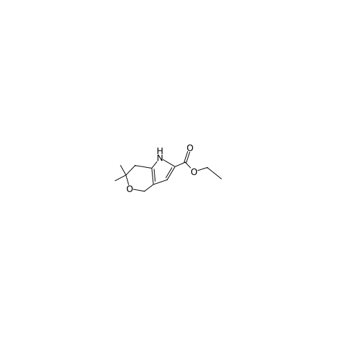 CCOC(=O)c1cc2c([nH]1)CC(C)(C)OC2